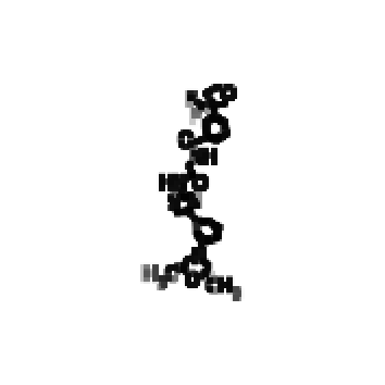 C[C@@H]1CN(c2cccc(-c3csc(NC(=O)CNC(=O)c4cccc([C@]5(C(F)F)CCOC5)c4)n3)c2)C[C@H](C)O1